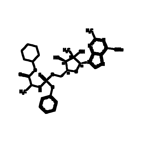 COc1nc(C)nc2c1ncn2[C@@H]1O[C@H](COP(=S)(NC(C)C(=O)OC2CCCCC2)Oc2ccccc2)[C@@H](O)[C@@]1(C)O